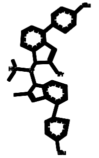 CC1=Cc2c(-c3ccc(C(C)(C)C)cc3)cccc2[CH]1[Zr]([CH]1C(C(C)C)=Cc2c(-c3ccc(C(C)(C)C)cc3)cccc21)[SiH](C)C